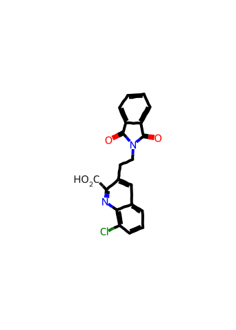 O=C(O)c1nc2c(Cl)cccc2cc1CCN1C(=O)c2ccccc2C1=O